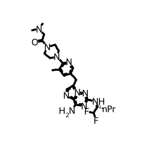 CCC[C@@H](Nc1nc(N)c2ncc(Cc3cnc(N4CCN(C(=O)CN(C)C)CC4)c(C)c3)n2n1)C(F)F